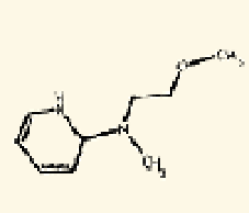 COCCN(C)C1C=CC=CN1